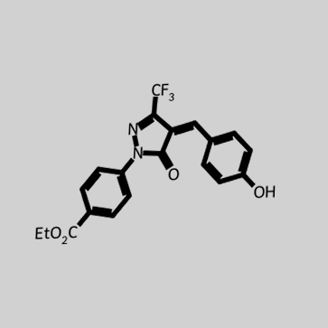 CCOC(=O)c1ccc(N2N=C(C(F)(F)F)C(=Cc3ccc(O)cc3)C2=O)cc1